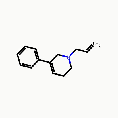 C=CCN1CCC=C(c2ccccc2)C1